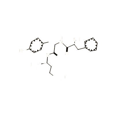 N[C@@H](Cc1ccccc1)C(=O)N[C@@H](Cc1ccc(O)cc1)C(=O)N[C@@H](CCC(=O)O)C(=O)O